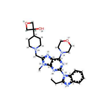 CCc1nc2ccccc2n1-c1nc(N2CCOCC2)c2nc(CN3CCC(C4(O)COC4)CC3)n(C)c2n1